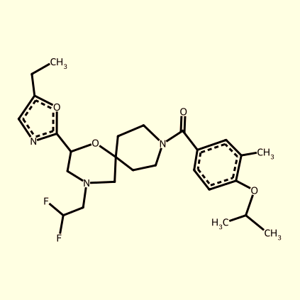 CCc1cnc(C2CN(CC(F)F)CC3(CCN(C(=O)c4ccc(OC(C)C)c(C)c4)CC3)O2)o1